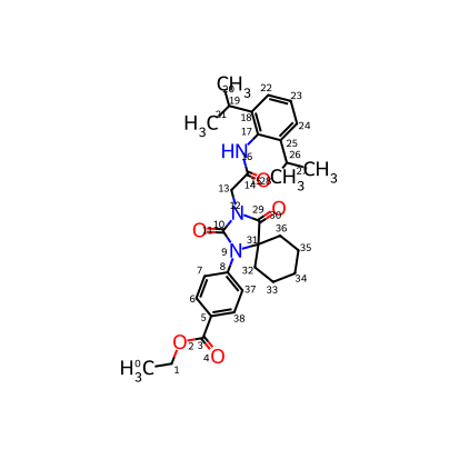 CCOC(=O)c1ccc(N2C(=O)N(CC(=O)Nc3c(C(C)C)cccc3C(C)C)C(=O)C23CCCCC3)cc1